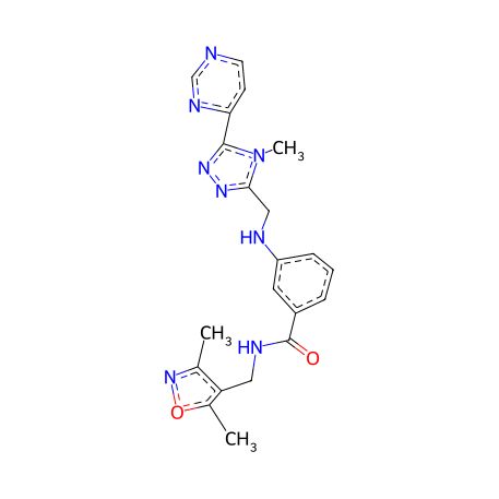 Cc1noc(C)c1CNC(=O)c1cccc(NCc2nnc(-c3ccncn3)n2C)c1